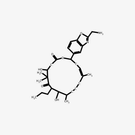 CCCC1C(=O)C(C)(C)C(O)CC(=O)OC(c2ccc3oc(CN)nc3c2)CC=C(C)CCCC(C)C1O